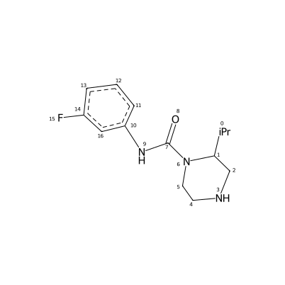 CC(C)C1CNCCN1C(=O)Nc1cccc(F)c1